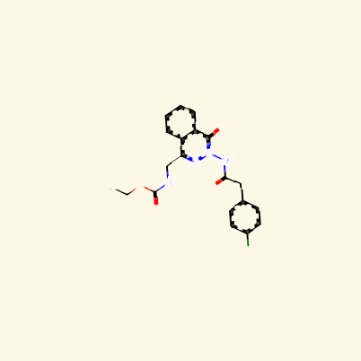 CC(C)(C)COC(=O)NCc1nn(NC(=O)Cc2ccc(Cl)cc2)c(=O)c2ccccc12